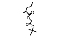 CCCC(C)C(=O)OCC(=O)OC(C)(C)C